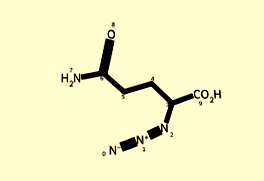 [N-]=[N+]=NC(CCC(N)=O)C(=O)O